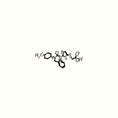 CC1CCC(N(Cc2ccccn2)C(=O)Nc2ncc(SCC(=O)O)s2)CC1